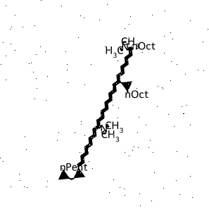 CCCCCCCCC(CCCCCCC(CCCCCCCCCC(CCCCCCCCC[C@H]1C[C@H]1C[C@H]1C[C@H]1CCCCC)N(C)C)[C@H]1C[C@H]1CCCCCCCC)N(C)C